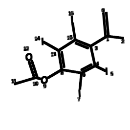 C=C(C)c1c(I)c(I)c(OC(C)=O)c(I)c1I